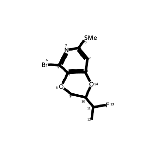 CSc1cc2c(c(Br)n1)OCC(C(C)F)O2